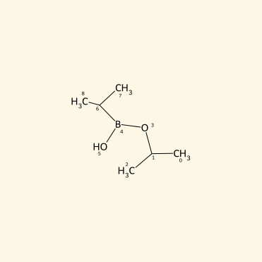 CC(C)OB(O)C(C)C